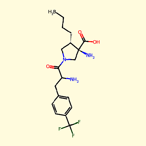 BCCC[C@H]1CN(C(=O)C(N)Cc2ccc(C(F)(F)F)cc2)C[C@@]1(N)C(=O)O